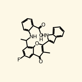 Cc1c(-c2cc3ccccc3[nH]2)oc2c(C(C)Nc3ccccc3C(=O)O)cc(F)cc2c1=O